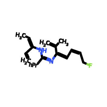 C=C/C(=C\C)N\C(CCC)=N/C(=C/C=C\CF)C(=C)C